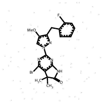 COc1cn(-c2nc(Br)c3c(n2)NC(=O)C3(C)C)nc1Cc1ccccc1F